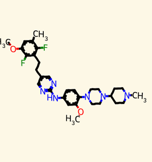 COc1cc(Nc2ncc(CCc3c(F)c(C)cc(OC)c3F)cn2)ccc1N1CCN(C2CCN(C)CC2)CC1